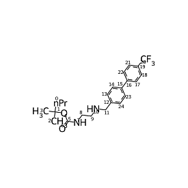 CCCC(C)(C)OC(=O)NCCNCc1ccc(-c2ccc(C(F)(F)F)cc2)cc1